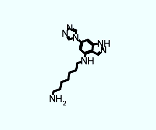 NCCCCCCCNc1cc(-n2cnnc2)cc2[nH]ncc12